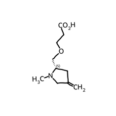 C=C1C[C@@H](COCCC(=O)O)N(C)C1